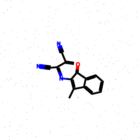 C=C(C#N)/C(C#N)=N\C1=C(C)c2ccccc2C1=O